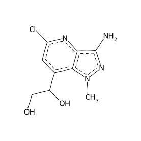 Cn1nc(N)c2nc(Cl)cc(C(O)CO)c21